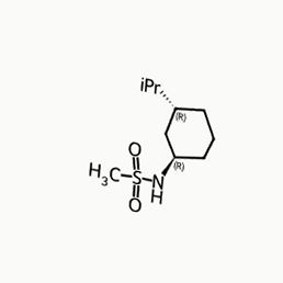 CC(C)[C@@H]1CCC[C@@H](NS(C)(=O)=O)C1